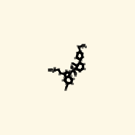 Cc1c(-c2ccc(OC(F)(F)F)cc2)cccc1S(=O)(=O)n1cc(CCC(=O)O)c2cc(F)ccc21